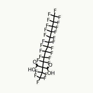 O=C(O)C(C(=O)O)(C(F)(F)C(F)(F)F)C(F)(F)C(F)(F)C(F)(F)C(F)(F)C(F)(F)C(F)(F)C(F)(F)C(F)(F)C(F)(F)C(F)(F)F